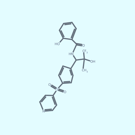 CC(O)(C(NC(=O)c1ccccc1O)c1ccc(S(=O)(=O)c2ccncc2)cc1)C(F)(F)F